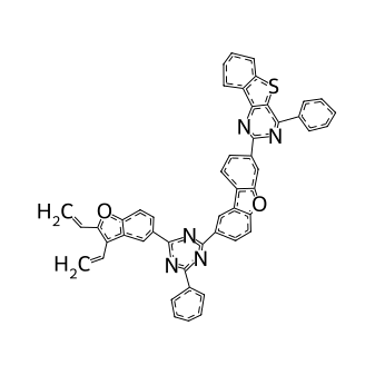 C=Cc1oc2ccc(-c3nc(-c4ccccc4)nc(-c4ccc5oc6cc(-c7nc(-c8ccccc8)c8sc9ccccc9c8n7)ccc6c5c4)n3)cc2c1C=C